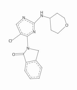 O=C1c2ccccc2CN1c1nc(NC2CCOCC2)ncc1Cl